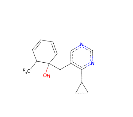 OC1(Cc2cncnc2C2CC2)C=CC=CC1C(F)(F)F